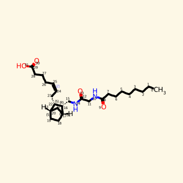 CCCCCCCCC(=O)NCC(=O)NC[C@@H]1[C@@H]2CC[C@@H](C2)[C@@H]1C/C=C\CCCC(=O)O